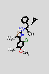 C#CC(Nc1nc(-c2cc(C)c(OC)cc2Cl)c(C)s1)[C@@H](CC1CC1)c1ccccc1